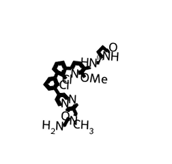 COc1nc(-c2cccc(-c3cccc(-c4ccn5c(=O)c(CN(C)CCN)cnc5c4)c3Cl)c2Cl)ccc1CNC[C@H]1CCC(=O)N1